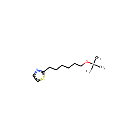 C[Si](C)(C)OCCCCCCc1nccs1